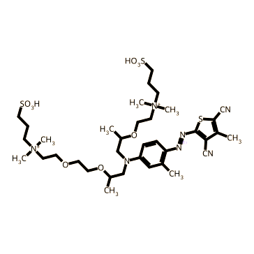 Cc1cc(N(CC(C)OCCOCC[N+](C)(C)CCCS(=O)(=O)O)CC(C)OCC[N+](C)(C)CCCS(=O)(=O)O)ccc1/N=N/c1sc(C#N)c(C)c1C#N